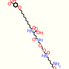 N[C@H]([C]=O)CCCCNC(=O)COCCOCCNC(=O)CCC(NC(=O)CCCCCCCCCCCOc1ccc(C(=O)O)cc1)C(=O)O